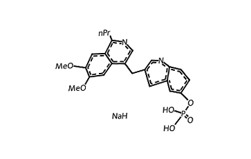 CCCc1ncc(Cc2cnc3ccc(OP(=O)(O)O)cc3c2)c2cc(OC)c(OC)cc12.[NaH]